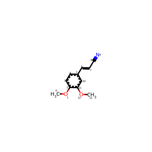 COc1ccc(C=CC#N)cc1OC